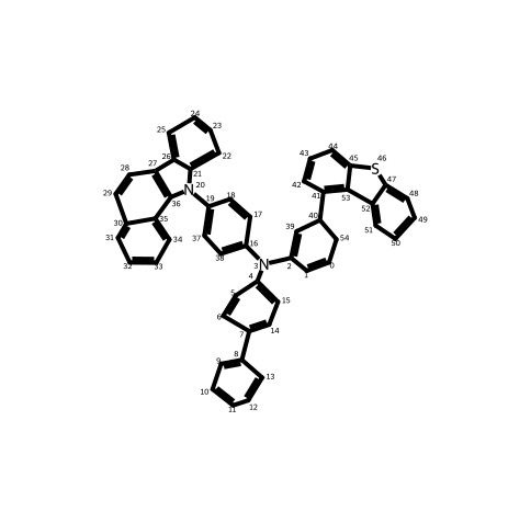 C1=CC(N(c2ccc(-c3ccccc3)cc2)c2ccc(-n3c4ccccc4c4ccc5ccccc5c43)cc2)=CC(c2cccc3sc4ccccc4c23)C1